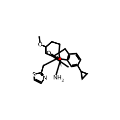 COC1CCC2(CC1)Cc1ccc(C3CC3)cc1C21N=C(N)C(Cc2nccs2)C1=O